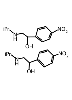 CC(C)NCC(O)c1ccc([N+](=O)[O-])cc1.CC(C)NCC(O)c1ccc([N+](=O)[O-])cc1